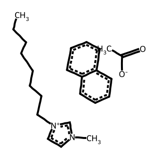 CC(=O)[O-].CCCCCCCC[n+]1ccn(C)c1.c1ccc2ccccc2c1